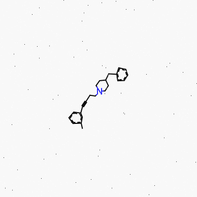 Cc1cccc(C#CCCN2CCC(Cc3ccccc3)CC2)c1